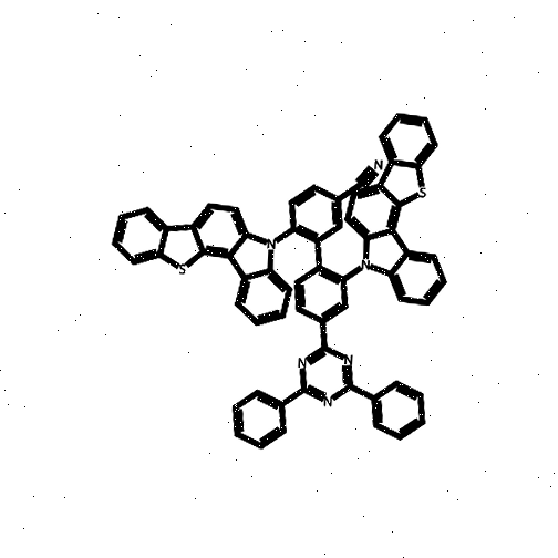 N#Cc1ccc(-n2c3ccccc3c3c4sc5ccccc5c4ccc32)c(-c2ccc(-c3nc(-c4ccccc4)nc(-c4ccccc4)n3)cc2-n2c3ccccc3c3c4sc5ccccc5c4ccc32)c1